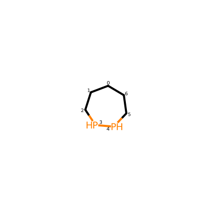 C1CCPPCC1